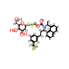 CC(c1cccc2ccccc12)N(CCCc1cccc(C(F)(F)F)c1)C(=O)OCSS[C@H]1C[C@@H](O)[C@H](O)[C@@H](CO)O1